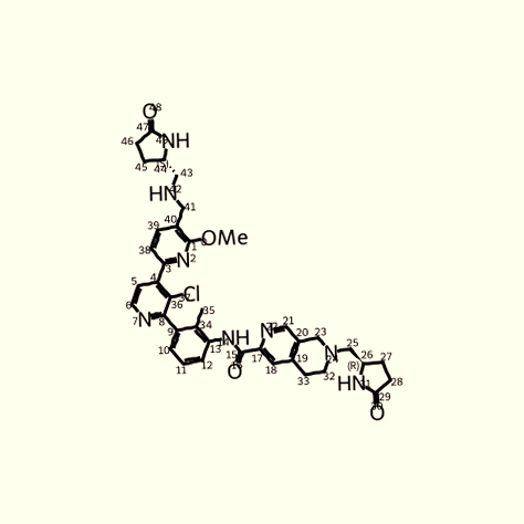 COc1nc(-c2ccnc(-c3cccc(NC(=O)c4cc5c(cn4)CN(C[C@H]4CCC(=O)N4)CC5)c3C)c2Cl)ccc1CNC[C@@H]1CCC(=O)N1